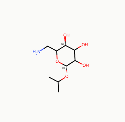 CC(C)O[C@@H]1OC(CN)[C@@H](O)C(O)C1O